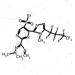 C=N/C(=N\N(C)C)c1ncc(S(=O)(=O)CC)c(-c2ncc(C(F)(F)C(F)(F)C(F)(F)C(F)(F)F)n2C)n1